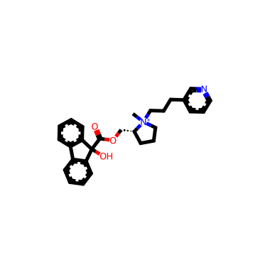 C[N+]1(CCCc2cccnc2)CCC[C@@H]1COC(=O)C1(O)c2ccccc2-c2ccccc21